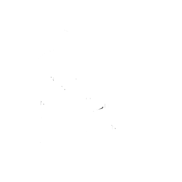 Cc1cccc(C)c1-c1cc2nc(n1)NS(=O)(=O)c1cccc(c1)C1CCN(C3CCCCC3)C[C@H](C1)O2